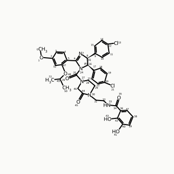 COc1ccc(C2=N[C@@H](c3ccc(Cl)cc3)[C@@H](c3ccc(Cl)cc3)N2C(=O)N2CCN(CCNC(=O)c3cccc(O)c3O)C(=O)C2)c(OC(C)C)c1